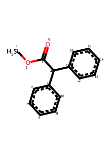 O=C(O[SiH3])C(c1ccccc1)c1ccccc1